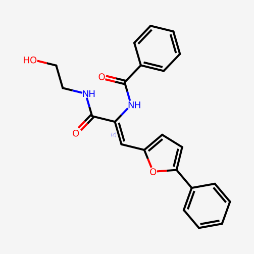 O=C(NCCO)/C(=C/c1ccc(-c2ccccc2)o1)NC(=O)c1ccccc1